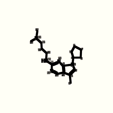 Cc1cn(C2CCCC2)c2nc(NCCCN(C)C)ncc12